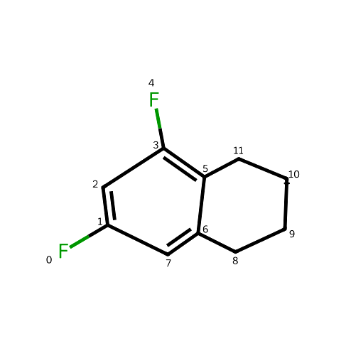 Fc1cc(F)c2c(c1)CC[C]C2